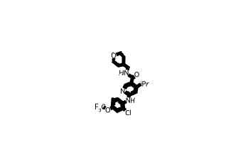 CC(C)c1cc(Nc2ccc(OC(F)(F)F)cc2Cl)ncc1C(=O)NCC1CCOCC1